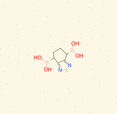 OB(O)C1CCC(B(O)O)c2nsnc21